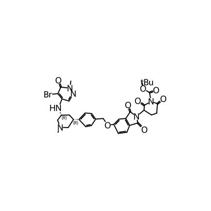 CN1C[C@H](Nc2cnn(C)c(=O)c2Br)C[C@H](c2ccc(COc3ccc4c(c3)C(=O)N(C3CCC(=O)N(C(=O)OC(C)(C)C)C3=O)C4=O)cc2)C1